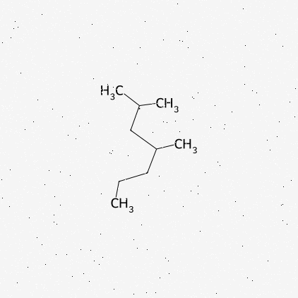 CCCC(C)C[C](C)C